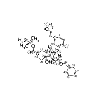 COCCc1ccc(Cl)c(CN(C(=O)[C@H]2CN(C(=O)OC(C)(C)C)CC[C@]2(O)c2ccnc(OCc3ccccc3)c2)C2CC2)c1